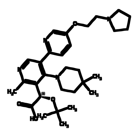 Cc1ncc(-c2ccc(OCCN3CCCC3)cn2)c(N2CCC(C)(C)CC2)c1[C@H](OC(C)(C)C)C(=O)O